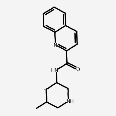 CC1[CH]C(NC(=O)c2ccc3ccccc3n2)CNC1